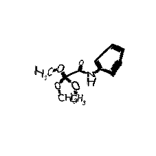 COC(OC)(OC)C(=O)Nc1ccccc1